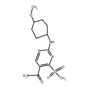 COC1CCC(Nc2ncc(C(N)=O)c(S(C)(=O)=O)n2)CC1